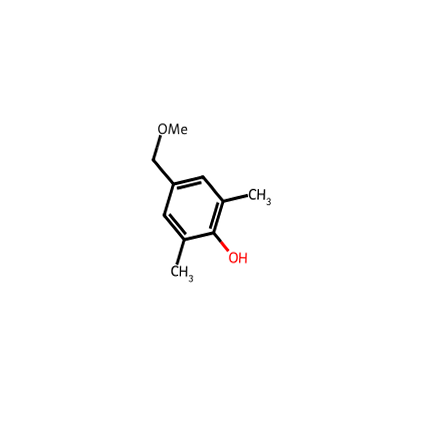 COCc1cc(C)c(O)c(C)c1